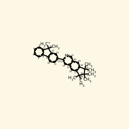 CC1(C)c2ccccc2-c2ccc(-c3cc4cc5c(cc4cn3)C(C)(C)C(C)(C)C5(C)C)cc21